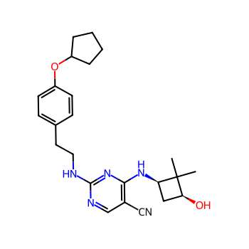 CC1(C)[C@@H](O)C[C@H]1Nc1nc(NCCc2ccc(OC3CCCC3)cc2)ncc1C#N